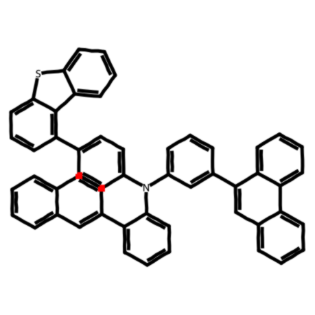 c1cc(-c2cc3ccccc3c3ccccc23)cc(N(c2ccc(-c3cccc4sc5ccccc5c34)cc2)c2ccccc2-c2ccc3ccccc3c2)c1